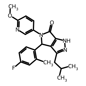 COc1ccc(N2C(=O)c3[nH]nc(CC(C)C)c3C2c2ccc(F)cc2C)cn1